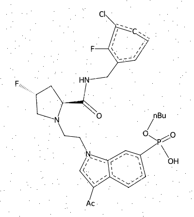 CCCCOP(=O)(O)c1ccc2c(C(C)=O)cn(CCN3C[C@H](F)C[C@H]3C(=O)NCc3cccc(Cl)c3F)c2c1